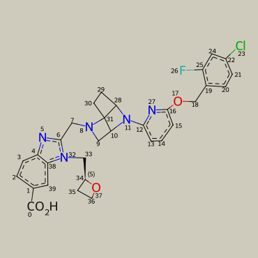 O=C(O)c1ccc2nc(CN3CC4N(c5cccc(OCc6ccc(Cl)cc6F)n5)C5CCC543)n(C[C@@H]3CCO3)c2c1